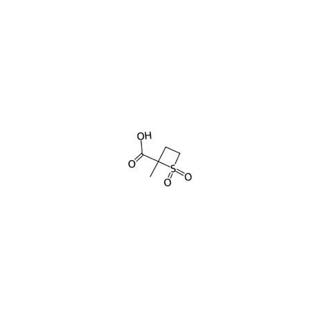 CC1(C(=O)O)CCS1(=O)=O